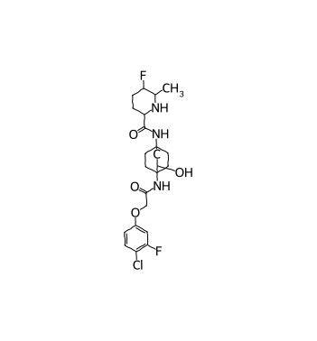 CC1NC(C(=O)NC23CCC(NC(=O)COc4ccc(Cl)c(F)c4)(CC2)C(O)C3)CCC1F